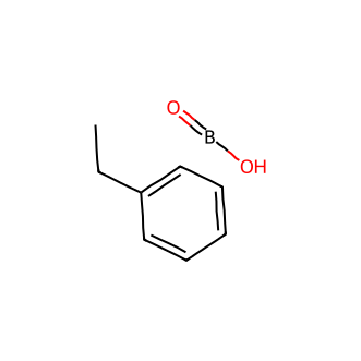 CCc1ccccc1.O=BO